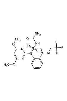 COc1cc(OC)nc(N(c2ccccc2C(=O)NCC(F)(F)F)S(=O)(=O)NC(N)=O)n1